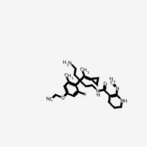 C=NC1=C(C(=O)NCCC(CCN)(C(C)=C2CC2)c2c(C)cc(OCC#N)cc2F)CCCN1